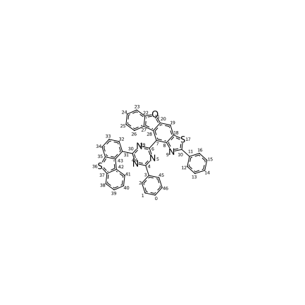 c1ccc(-c2nc(-c3c4nc(-c5ccccc5)sc4cc4oc5ccccc5c34)nc(-c3cccc4sc5ccccc5c34)n2)cc1